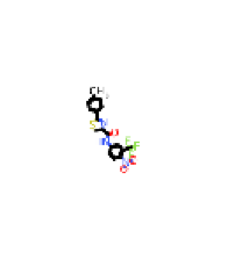 Cc1ccc(C2=NC(C(=O)Nc3ccc([N+](=O)[O-])c(C(F)(F)F)c3)CS2)cc1